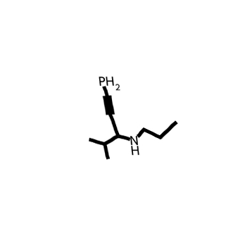 CCCNC(C#CP)C(C)C